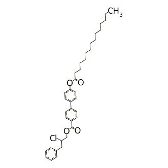 CCCCCCCCCCCCCCC(=O)Oc1ccc(-c2ccc(C(=O)OCC(Cl)Cc3ccccc3)cc2)cc1